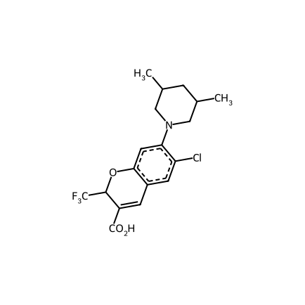 CC1CC(C)CN(c2cc3c(cc2Cl)C=C(C(=O)O)C(C(F)(F)F)O3)C1